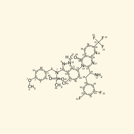 COc1ccc(CN(c2nn(C)c3c(-n4c(C(N)Cc5cc(F)cc(F)c5)nc5nc(C(F)(F)F)ccc5c4=O)ccc(Cl)c23)S(C)(=O)=O)cc1